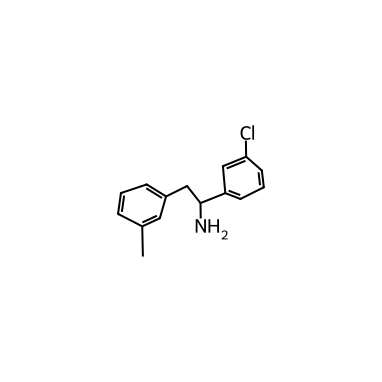 Cc1cccc(CC(N)c2cccc(Cl)c2)c1